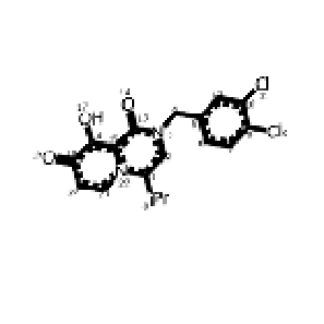 CC(C)c1cn(Cc2ccc(Cl)c(Cl)c2)c(=O)c2c(O)c(=O)ccn12